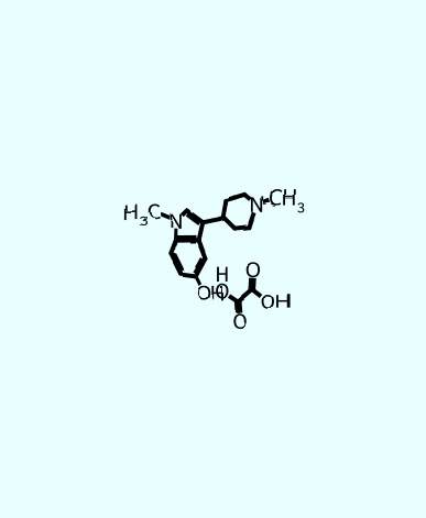 CN1CCC(c2cn(C)c3ccc(O)cc23)CC1.O=C(O)C(=O)O